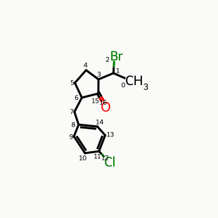 CC(Br)C1CCC(Cc2ccc(Cl)cc2)C1=O